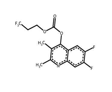 Cc1nc2cc(F)c(F)cc2c(OC(=O)OCCC(F)(F)F)c1C